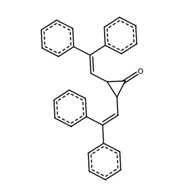 O=C1C(C=C(c2ccccc2)c2ccccc2)C1C=C(c1ccccc1)c1ccccc1